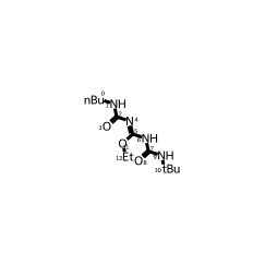 CCCCNC(=O)N=C(NC(=O)NC(C)(C)C)OCC